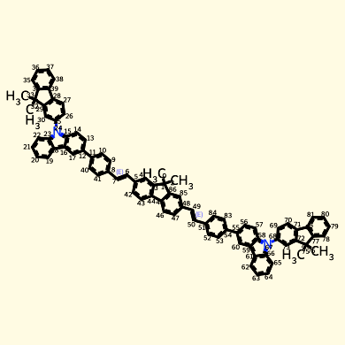 CC1(C)c2cc(/C=C/c3ccc(-c4ccc5c(c4)c4ccccc4n5-c4ccc5c(c4)C(C)(C)c4ccccc4-5)cc3)ccc2-c2ccc(/C=C/c3ccc(-c4ccc5c(c4)c4ccccc4n5-c4ccc5c(c4)C(C)(C)c4ccccc4-5)cc3)cc21